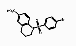 O=C(O)c1ccc2c(c1)CCCN2S(=O)(=O)c1ccc(Br)cc1